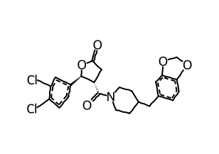 O=C1C[C@H](C(=O)N2CCC(Cc3ccc4c(c3)OCO4)CC2)[C@@H](c2ccc(Cl)c(Cl)c2)O1